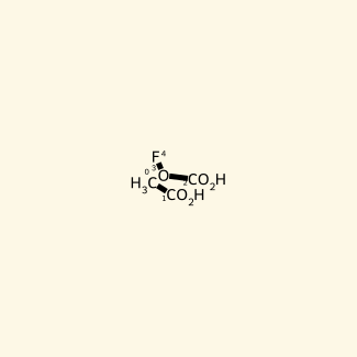 CC(=O)O.O=C(O)OF